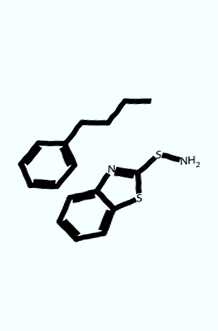 CCCCc1ccccc1.NSc1nc2ccccc2s1